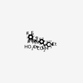 CCN1CCC(C(=O)c2cccc(NC(=S)Nc3cc(F)c(F)cc3F)c2)CC1.O=C(O)CC(=O)O